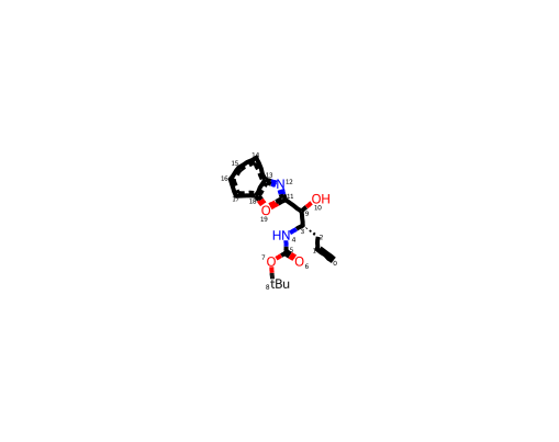 C=CC[C@H](NC(=O)OC(C)(C)C)C(O)c1nc2ccccc2o1